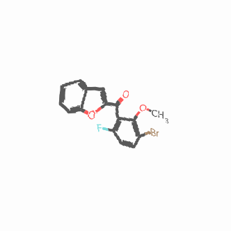 COc1c(Br)ccc(F)c1C(=O)c1cc2ccccc2o1